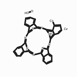 [Co][c]1cccc2c3nc4nc(nc5[nH]c(nc6nc(nc([nH]3)c12)-c1ccccc1-6)c1ccccc51)-c1ccccc1-4.[Cu].[OH][Ti]